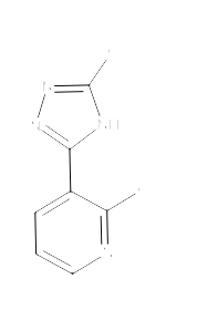 Cc1nnc(-c2cccnc2C)[nH]1